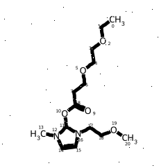 CCOCCOCCC(=O)OC1N(C)C=CN1CCOC